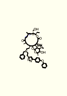 CC[C@H]1OC(=O)C[C@@H](O)[C@H](C)[C@@H](O[C@@H]2O[C@H](C)[C@@H](O)C(N(C)C)C2O)[C@@H](CCN(CCn2cc(-c3ccc(Oc4ccccc4)cc3)nn2)Cc2ccccc2)C[C@@H](C)C(=O)/C=C/C(C)=C/[C@@H]1CO